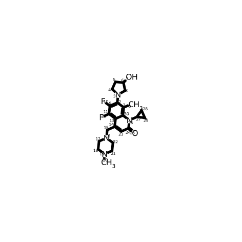 Cc1c(N2CCC(O)C2)c(F)c(F)c2c(CN3CCN(C)CC3)cc(=O)n(C3CC3)c12